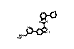 CCNCc1cncc(-c2ccc3[nH]nc(-c4nc5c(-c6cccnc6)cccc5[nH]4)c3c2)c1